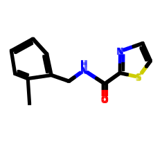 Cc1ccccc1CNC(=O)c1nccs1